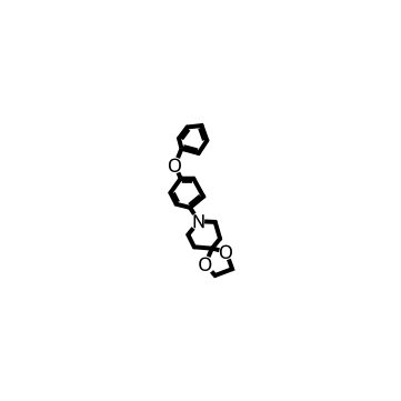 c1ccc(Oc2ccc(N3CCC4(CC3)OCCO4)cc2)cc1